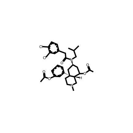 CC(=O)Oc1cccc([C@@]23CCN(C)C[C@H]2C(OC(C)=O)C[C@H](N(CC(C)C)C(=O)Cc2ccc(Cl)c(Cl)c2)C3)c1